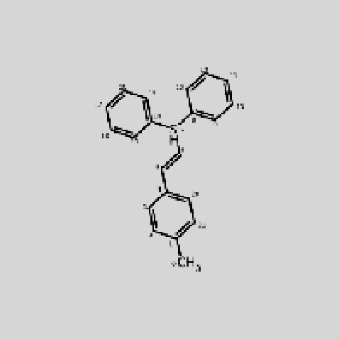 Cc1ccc(C=C[SiH](c2ccccc2)c2ccccc2)cc1